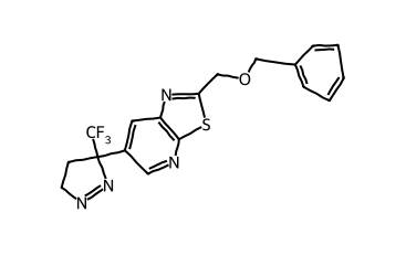 FC(F)(F)C1(c2cnc3sc(COCc4ccccc4)nc3c2)CCN=N1